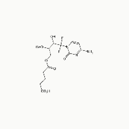 COC(COC(=O)CCCC(=O)O)C(O)C(F)(F)n1ccc(N)nc1=O